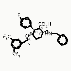 C[C@@H](O[C@@H]1CC[C@H](CNCc2ccccc2)[C@H](C(=O)O)[C@@H]1c1ccc(F)cc1)c1cc(C(F)(F)F)cc(C(F)(F)F)c1